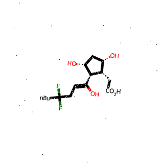 CCCCC(F)(F)CC=C(O)[C@@H]1[C@@H](CC(=O)O)[C@@H](O)C[C@H]1O